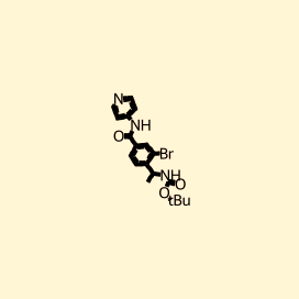 CC(NC(=O)OC(C)(C)C)c1ccc(C(=O)Nc2ccncc2)cc1Br